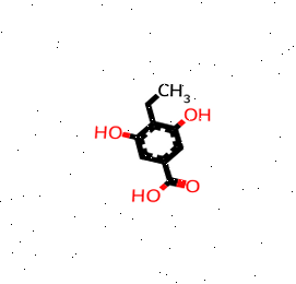 CCc1c(O)cc(C(=O)O)cc1O